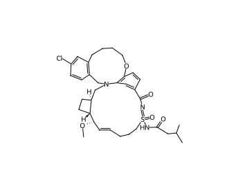 CO[C@H]1/C=C/CCCS(=O)(NC(=O)CC(C)C)=NC(=O)c2ccc3c(c2)N(Cc2ccc(Cl)cc2CCCCO3)C[C@@H]2CC[C@H]21